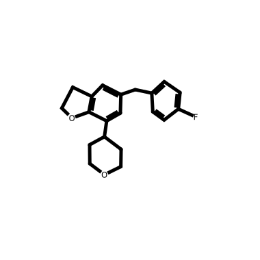 Fc1ccc(Cc2cc3c(c(C4CCOCC4)c2)OCC3)cc1